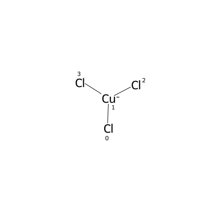 [Cl][Cu-]([Cl])[Cl]